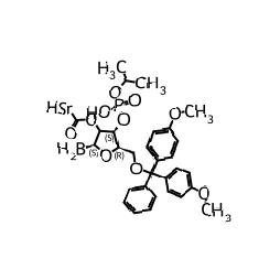 B[C@@H]1O[C@H](COC(c2ccccc2)(c2ccc(OC)cc2)c2ccc(OC)cc2)[C@H](OP(=O)(O)OC(C)C)C1O[C](=O)[SrH]